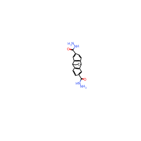 NNC(=O)c1ccc2c(c1)C1CCC2c2cc(C(=O)NN)ccc21